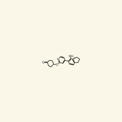 Nc1c(-c2ccnc(OC3CCC(=O)CC3)c2)ccc2c1CCC2